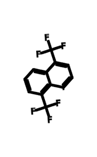 FC(F)(F)c1cccc2c(C(F)(F)F)cc[c]c12